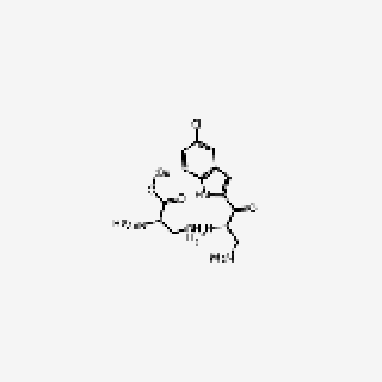 CNC(CN)C(=O)OC(C)(C)C.CNCC(N)C(=O)c1cc2cc(Cl)ccc2[nH]1.Cl